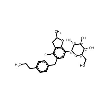 CCCc1ccc(Cc2cc([C@@H]3O[C@H](CO)[C@@H](O)[C@H](O)[C@H]3O)c3c(c2Cl)CC(C)O3)cc1